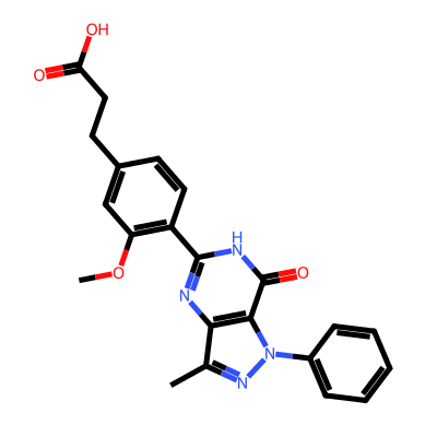 COc1cc(CCC(=O)O)ccc1-c1nc2c(C)nn(-c3ccccc3)c2c(=O)[nH]1